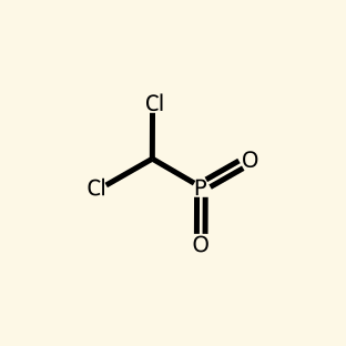 O=P(=O)C(Cl)Cl